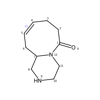 O=C1CC/C=C\CC2CNCCN12